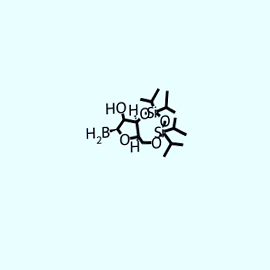 B[C@@H]1O[C@@H]2CO[Si](C(C)C)(C(C)C)O[Si](C(C)C)(C(C)C)O[C@@H]2C1O